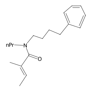 C/C=C(\C)C(=O)N(CCC)CCCCc1ccccc1